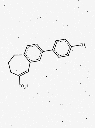 Cc1ccc(-c2ccc3c(c2)C=C(C(=O)O)CCC3)cc1